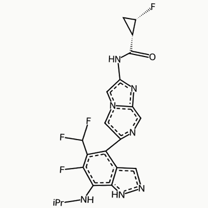 CC(C)Nc1c(F)c(C(F)F)c(-c2cn3cc(NC(=O)[C@@H]4C[C@@H]4F)nc3cn2)c2cn[nH]c12